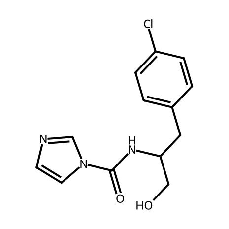 O=C(NC(CO)Cc1ccc(Cl)cc1)n1ccnc1